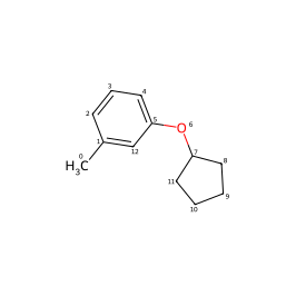 Cc1cccc(OC2CCCC2)c1